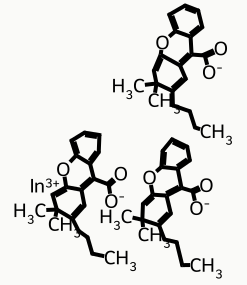 CCCCC1=CC2=C(C(=O)[O-])c3ccccc3OC2=CC1(C)C.CCCCC1=CC2=C(C(=O)[O-])c3ccccc3OC2=CC1(C)C.CCCCC1=CC2=C(C(=O)[O-])c3ccccc3OC2=CC1(C)C.[In+3]